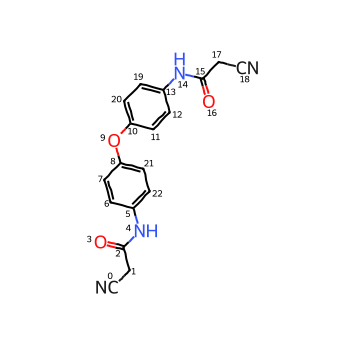 N#CCC(=O)Nc1ccc(Oc2ccc(NC(=O)CC#N)cc2)cc1